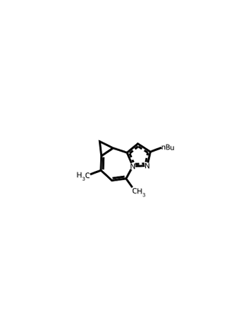 CCCCc1cc2n(n1)C(C)=CC(C)=C1CC12